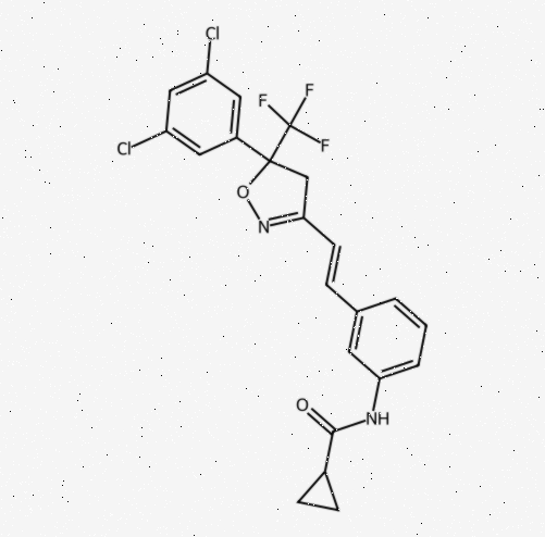 O=C(Nc1cccc(/C=C/C2=NOC(c3cc(Cl)cc(Cl)c3)(C(F)(F)F)C2)c1)C1CC1